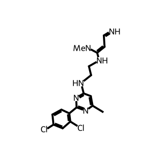 CN/C(=C\C=N)NCCNc1cc(C)nc(-c2ccc(Cl)cc2Cl)n1